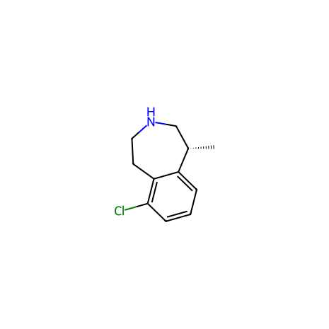 C[C@H]1CNCCc2c(Cl)cccc21